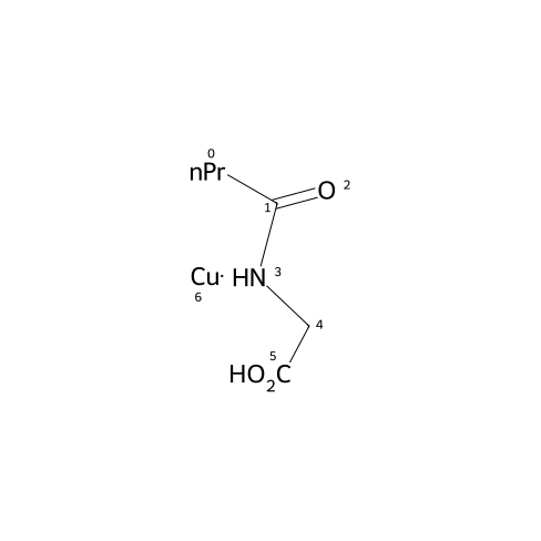 CCCC(=O)NCC(=O)O.[Cu]